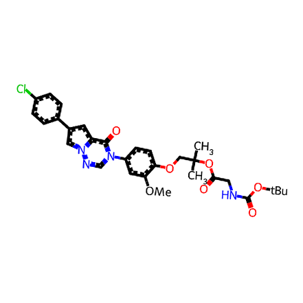 COc1cc(-n2cnn3cc(-c4ccc(Cl)cc4)cc3c2=O)ccc1OCC(C)(C)OC(=O)CNC(=O)OC(C)(C)C